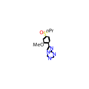 CCC[S+]([O-])c1ccc(-c2cn3cncnc3n2)c(OC)c1